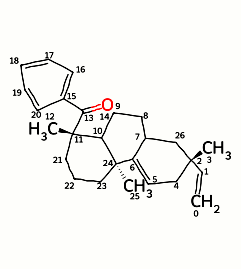 C=C[C@]1(C)CC=C2C(CCC3[C@@](C)(C(=O)c4ccccc4)CCC[C@]23C)C1